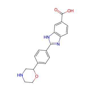 O=C(O)c1ccc2nc(-c3ccc(C4CNCCO4)cc3)[nH]c2c1